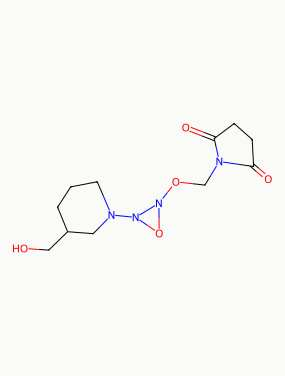 O=C1CCC(=O)N1COn1on1N1CCCC(CO)C1